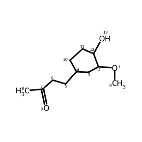 COC1CC(CCC(C)=O)CCC1O